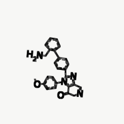 COc1ccc(-n2c(-c3ccc(-c4ccccc4CN)cc3)nc3c2C(=O)CN=C3)cc1